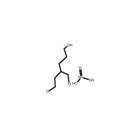 O=[PH](O)O.OCCCC(CCl)CCCl